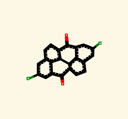 O=c1c2ccc3cc(Cl)cc4c(=O)c5ccc6cc(Cl)cc1c6c5-c2c34